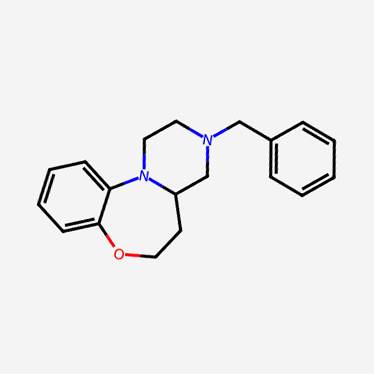 c1ccc(CN2CCN3c4ccccc4OCCC3C2)cc1